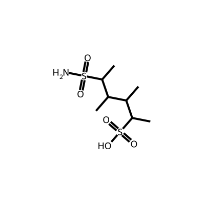 CC(C(C)C(C)S(=O)(=O)O)C(C)S(N)(=O)=O